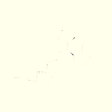 COC(=O)c1cc(NC(=O)[C@@H]2O[C@@](C)(C(F)(F)F)[C@@H](C)[C@H]2c2cccc(Cl)c2O)ccn1